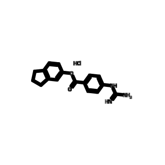 Cl.N=C(N)Nc1ccc(C(=O)Oc2ccc3c(c2)CCC3)cc1